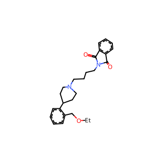 CCOCc1ccccc1C1CCN(CCCCN2C(=O)c3ccccc3C2=O)CC1